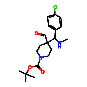 CNC(c1ccc(Cl)cc1)C1(C=O)CCN(C(=O)OC(C)(C)C)CC1